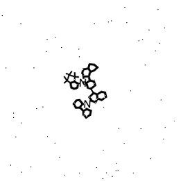 CC1(C)c2cccc(-n3c4cc(-c5cc(-n6c7ccccc7c7ccccc76)cc6ccccc56)ccc4c4c5ccccc5ccc43)c2C(C)(C)C1(C)C